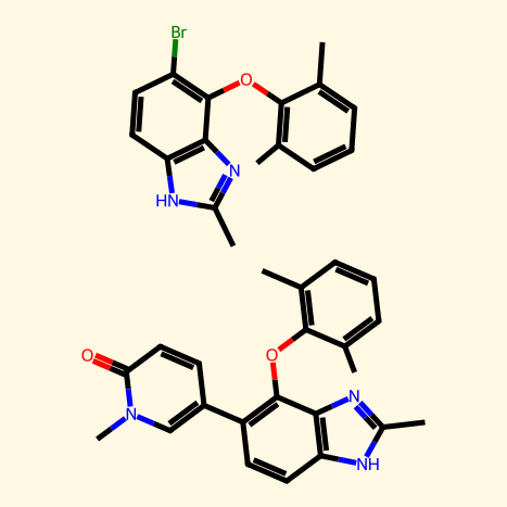 Cc1nc2c(Oc3c(C)cccc3C)c(-c3ccc(=O)n(C)c3)ccc2[nH]1.Cc1nc2c(Oc3c(C)cccc3C)c(Br)ccc2[nH]1